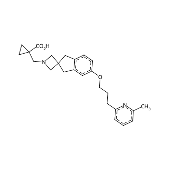 Cc1cccc(CCCOc2ccc3c(c2)CC2(C3)CN(CC3(C(=O)O)CC3)C2)n1